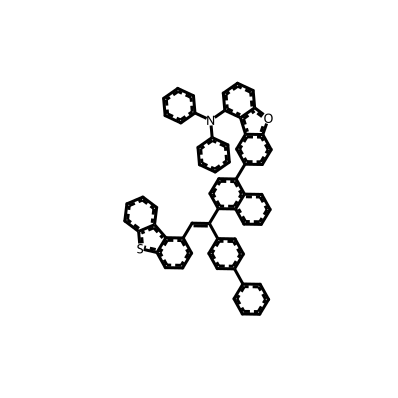 C(=C(/c1ccc(-c2ccccc2)cc1)c1ccc(-c2ccc3oc4cccc(N(c5ccccc5)c5ccccc5)c4c3c2)c2ccccc12)/c1cccc2sc3ccccc3c12